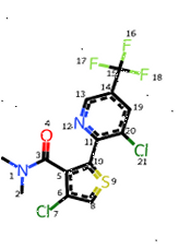 CN(C)C(=O)c1c(Cl)csc1-c1ncc(C(F)(F)F)cc1Cl